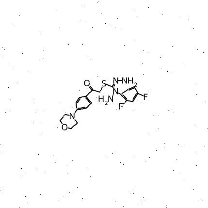 N/N=C(/SCC(=O)c1ccc(N2CCOCC2)cc1)N(N)c1ccc(F)cc1F